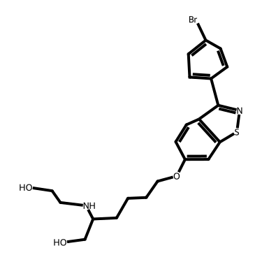 OCCNC(CO)CCCCOc1ccc2c(-c3ccc(Br)cc3)nsc2c1